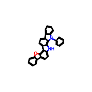 c1ccc(-n2c3ccccc3c3ccc4c([nH]c5ccc6c7ccccc7oc6c54)c32)cc1